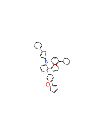 c1ccc(-c2ccc(N(c3ccc(-c4ccccc4)cc3)c3cccc(-c4ccc5c(c4)oc4ccccc45)c3-c3ccccc3)cc2)cc1